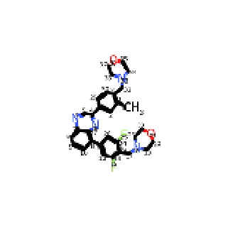 Cc1cc(-c2cnc3cccc(-c4cc(F)c(CN5CCOCC5)c(F)c4)c3n2)ccc1CN1CCOCC1